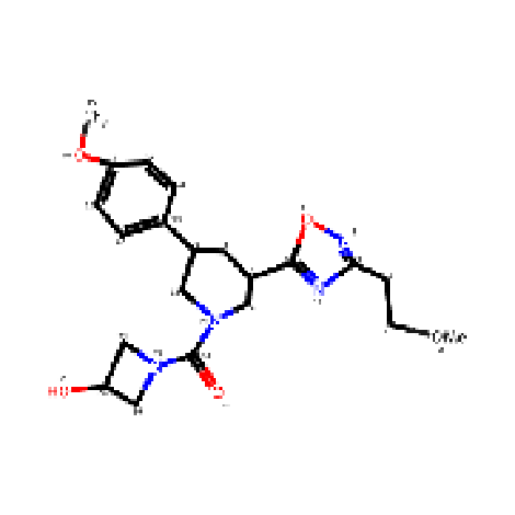 COCCc1noc(C2CC(c3ccc(OC(F)(F)F)cc3)CN(C(=O)N3CC(O)C3)C2)n1